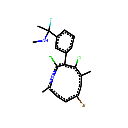 CNC(C)(F)c1cccc(-c2c(Cl)nc(C)ccc(Br)cc(C)c2Cl)c1